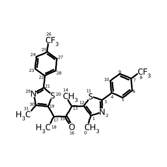 Cc1nc(-c2ccc(C(F)(F)F)cc2)sc1C(C)C(=O)C(C)c1sc(-c2ccc(C(F)(F)F)cc2)nc1C